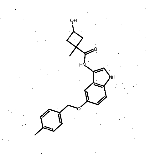 Cc1ccc(COc2ccc3[nH]cc(NC(=O)C4(C)CC(O)C4)c3c2)cc1